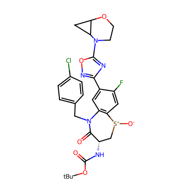 CC(C)(C)OC(=O)N[C@H]1C[S+]([O-])c2cc(F)c(-c3noc(N4CCOC5CC54)n3)cc2N(Cc2ccc(Cl)cc2)C1=O